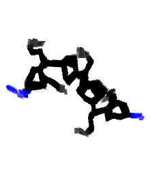 CCCCCCCCCCCCC(c1ccc(C(CCCCCCCCCCC)c2ccc(C(CCCCCCCCCCCC)c3ccc(N)cc3C)cc2)cc1)c1ccc(N)cc1C